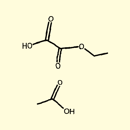 CC(=O)O.CCOC(=O)C(=O)O